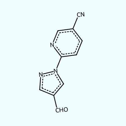 N#Cc1ccc(-n2cc(C=O)cn2)nc1